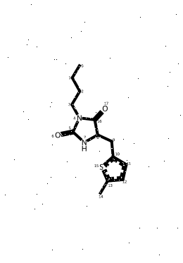 CCCCN1C(=O)NC(Cc2ccc(C)s2)C1=O